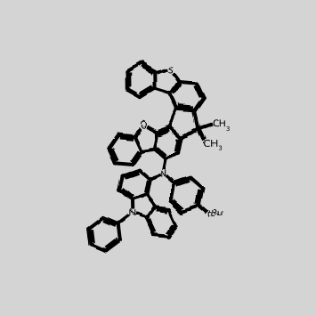 CC(C)(C)c1ccc(N(c2cc3c(c4oc5ccccc5c24)-c2c(ccc4sc5ccccc5c24)C3(C)C)c2cccc3c2c2ccccc2n3-c2ccccc2)cc1